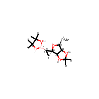 CO[C@@H]1O[C@@]2(C[C@H]2B2OC(C)(C)C(C)(C)O2)C2OC(C)(C)OC21